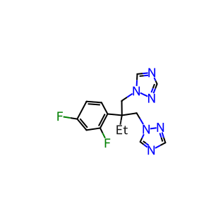 [CH2]CC(Cn1cncn1)(Cn1cncn1)c1ccc(F)cc1F